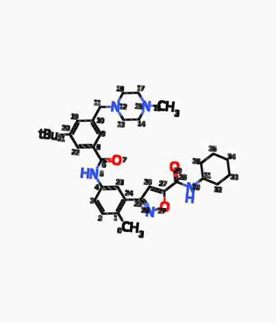 Cc1ccc(NC(=O)c2cc(CN3CCN(C)CC3)cc(C(C)(C)C)c2)cc1-c1cc(C(=O)NC2CCCCC2)on1